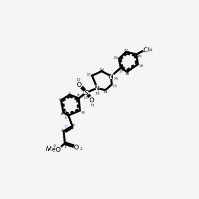 COC(=O)/C=C/c1cccc(S(=O)(=O)N2CCN(c3ccc(Cl)cc3)CC2)c1